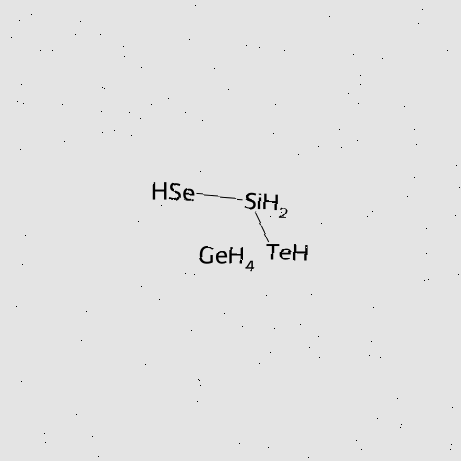 [GeH4].[SeH][SiH2][TeH]